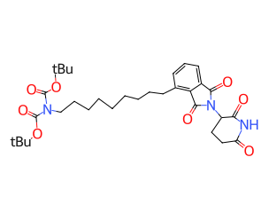 CC(C)(C)OC(=O)N(CCCCCCCCCc1cccc2c1C(=O)N(C1CCC(=O)NC1=O)C2=O)C(=O)OC(C)(C)C